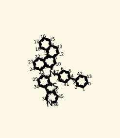 c1ccc(-c2ccc(N(c3cc4ccc5ccccc5c4c4ccccc34)c3cccc4c3sc3ccncc34)cc2)cc1